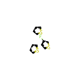 Fc1ccsc1.c1ccsc1.c1ccsc1